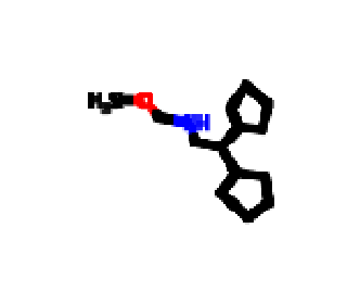 [SiH3]OCNCC(C1CCCC1)C1CCCC1